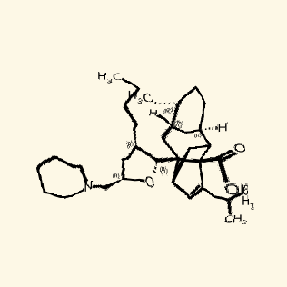 CCCC[C@@H]1C[C@H](CN2CCCCC2)O[C@H]1C12C[C@@H]3[C@H](C)CC[C@H]3C3CC1C=C(C(C)C)C32C(=O)O